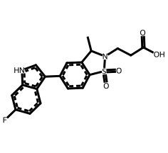 CC1c2cc(-c3c[nH]c4cc(F)ccc34)ccc2S(=O)(=O)N1CCC(=O)O